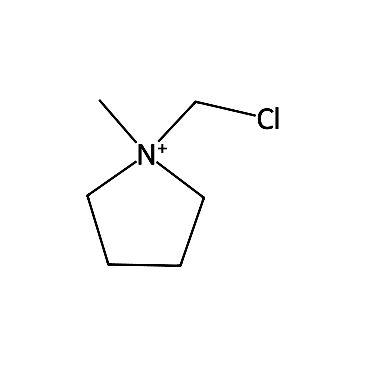 C[N+]1(CCl)CCCC1